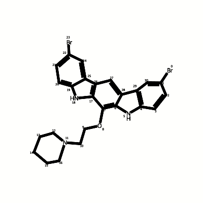 Brc1ccc2[nH]c3c(OCCN4CCCCC4)c4[nH]c5ccc(Br)cc5c4cc3c2c1